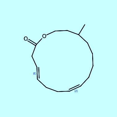 CC1CCCC/C=C\CC/C=C/CC(=O)OCC1